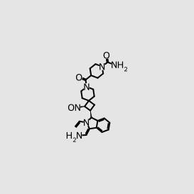 C=CN1/C(=C\N)c2ccccc2C1[C@@H]1CC2(CCN(C(=O)C3CCN(C(N)=O)CC3)CC2)[C@@H]1N=O